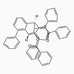 O=C(OC1C(OC(=O)c2ccccc2)[C@H]2c3cccc(-c4ccccc4)c3[C@H]1c1c(-c3ccccc3)ccc(-c3ccccc3)c12)c1ccccc1